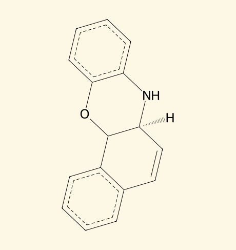 C1=C[C@@H]2Nc3ccccc3OC2c2ccccc21